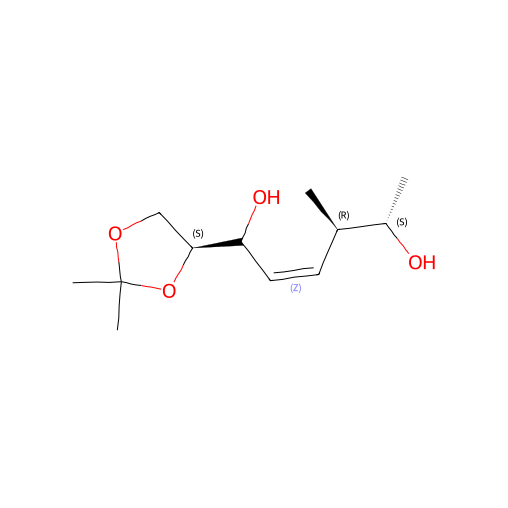 C[C@H](O)[C@H](C)/C=C\C(O)[C@@H]1COC(C)(C)O1